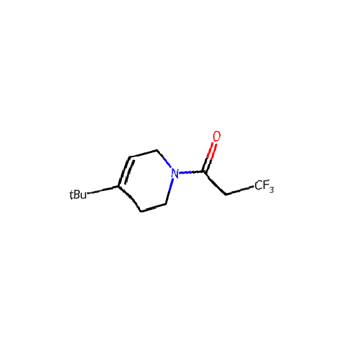 CC(C)(C)C1=CCN(C(=O)CC(F)(F)F)CC1